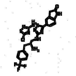 NC(CNc1nsc(-c2ccc3c(c2)CC(=O)N3)n1)Cc1ccc(C(F)(F)F)cc1.Nc1nsc(Cl)n1